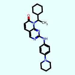 CC(C1CCCCC1)n1c(=O)ccc2cnc(Nc3ccc(N4CCCCC4)cc3)nc21